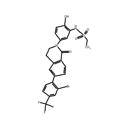 CCS(=O)(=O)Nc1cc(N2CCc3cc(-c4ccc(C(F)(F)F)cc4Br)ccc3C2=O)ccc1O